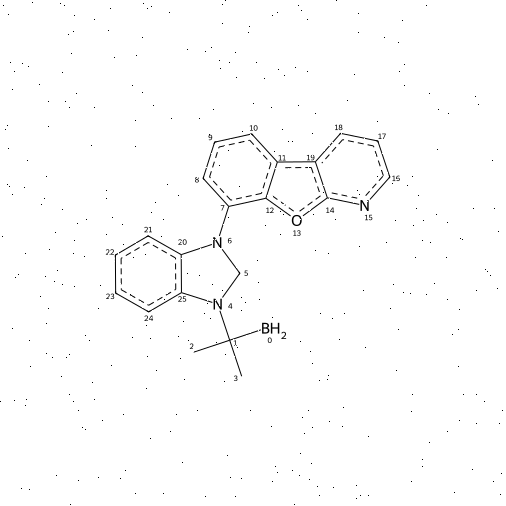 BC(C)(C)N1CN(c2cccc3c2oc2ncccc23)c2ccccc21